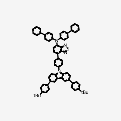 CC(C)(C)c1ccc(-c2ccc3c(c2)c2cc(-c4ccc(C(C)(C)C)cc4)ccc2n3-c2ccc(-c3ccc(N(c4ccc(-c5ccccc5)cc4)c4ccc(-c5ccccc5)cc4)c4nsnc34)cc2)cc1